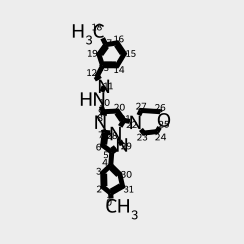 Cc1ccc(-c2cc3nc(NN=Cc4cccc(C)c4)cc(N4CCOCC4)n3n2)cc1